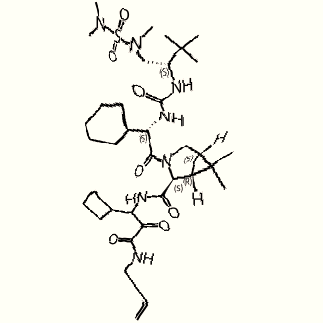 C=CCNC(=O)C(=O)C(NC(=O)[C@@H]1[C@@H]2[C@H](CN1C(=O)[C@@H](NC(=O)N[C@H](CN(C)S(=O)(=O)N(C)C)C(C)(C)C)C1CCCCC1)C2(C)C)C1CCC1